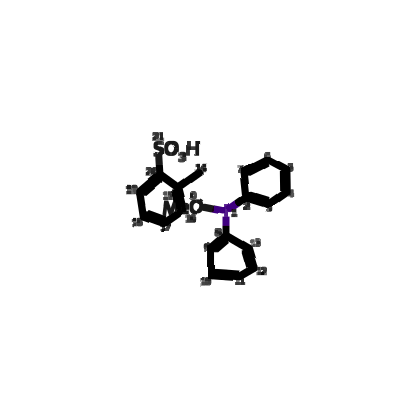 COI(c1ccccc1)c1ccccc1.Cc1ccccc1S(=O)(=O)O